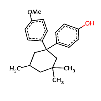 COc1ccc(C2(c3ccc(O)cc3)CC(C)CC(C)(C)C2)cc1